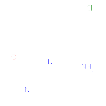 Nc1ccnc(=O)n1CCCCl